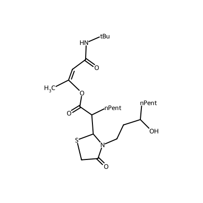 CCCCCC(O)CCN1C(=O)CSC1C(CCCCC)C(=O)O/C(C)=C\C(=O)NC(C)(C)C